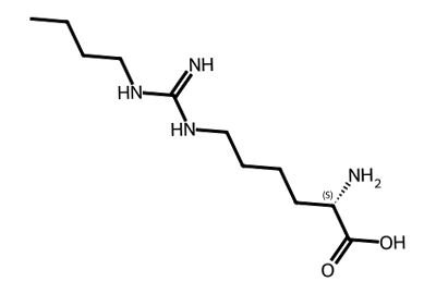 CCCCNC(=N)NCCCC[C@H](N)C(=O)O